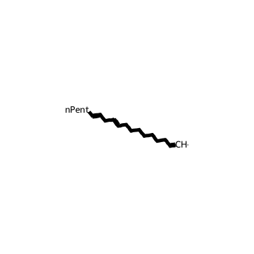 [CH]=CCCCCCCC/C=C/C/C=C/CCCCC